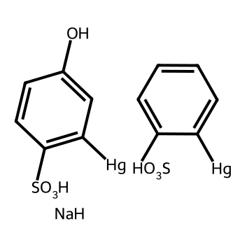 O=S(=O)(O)c1ccc(O)c[c]1[Hg].O=S(=O)(O)c1cccc[c]1[Hg].[NaH]